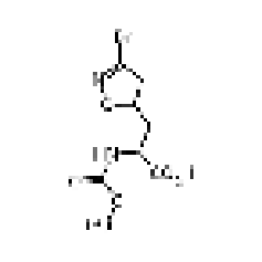 CC(C)(C)OC(=O)NC(CC1CC(Br)=NO1)C(=O)O